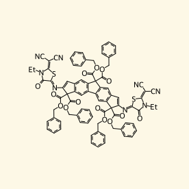 CCN1C(=O)/C(=N/C2=Cc3cc4c(cc3C2(C(=O)OCc2ccccc2)C(=O)OCc2ccccc2)-c2cc3c(cc2C4(C(=O)OCc2ccccc2)C(=O)OCc2ccccc2)C=C(/N=C2\SC(=C(C#N)C#N)N(CC)C2=O)C3(C(=O)OCc2ccccc2)C(=O)OCc2ccccc2)SC1=C(C#N)C#N